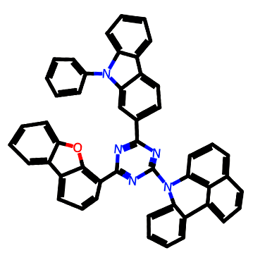 c1ccc(-n2c3ccccc3c3ccc(-c4nc(-c5cccc6c5oc5ccccc56)nc(N5c6ccccc6-c6cccc7cccc5c67)n4)cc32)cc1